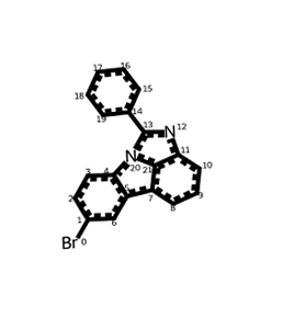 Brc1ccc2c(c1)c1cccc3nc(-c4ccccc4)n2c31